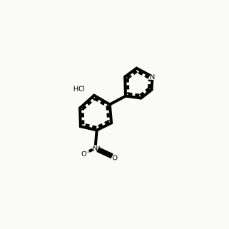 Cl.O=[N+]([O-])c1cccc(-c2ccncc2)c1